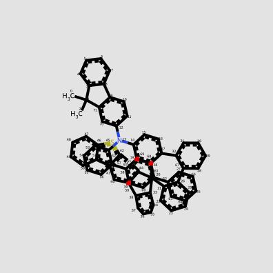 CC1(C)c2ccccc2-c2ccc(N(c3ccc4c(c3)C3(c5ccccc5-c5ccccc5-4)c4ccccc4-c4cc5c(cc43)sc3ccccc35)c3ccccc3-c3ccc(-c4ccccc4)cc3)cc21